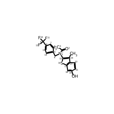 CC(=O)N(Cc1ccc(C(F)(F)F)cc1)c1sc2cc(O)ccc2c1C